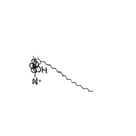 CCCCCCCCCCCCCCCCCCCC(COP(=O)(O)OCCC[N+](C)(C)C)CC(C)=O